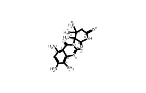 Bc1cc(N)c2c(=O)n(C3(B)C(=O)NC(=O)CC3(B)B)c(C)nc2c1B